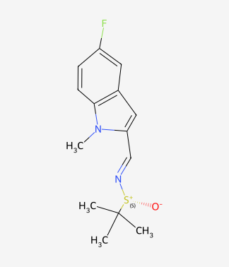 Cn1c(C=N[S@+]([O-])C(C)(C)C)cc2cc(F)ccc21